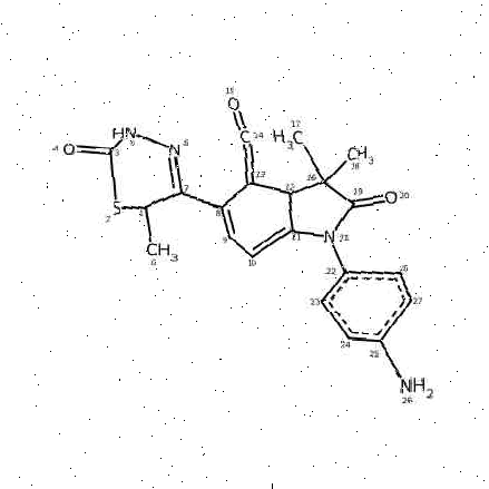 CC1SC(=O)NN=C1C1=CC=C2C(C1=C=O)C(C)(C)C(=O)N2c1ccc(N)cc1